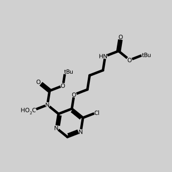 CC(C)(C)OC(=O)NCCCOc1c(Cl)ncnc1N(C(=O)O)C(=O)OC(C)(C)C